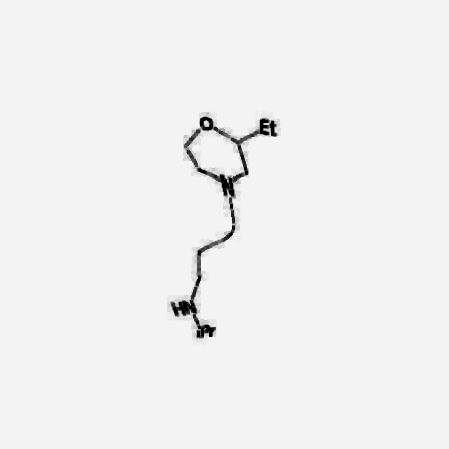 CCC1CN(CCCNC(C)C)CCO1